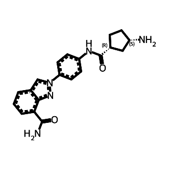 NC(=O)c1cccc2cn(-c3ccc(NC(=O)[C@@H]4CC[C@H](N)C4)cc3)nc12